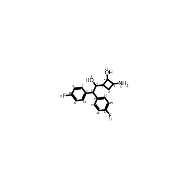 NC1CC(C(O)C(c2ccc(F)cc2)c2ccc(F)cc2)C1O